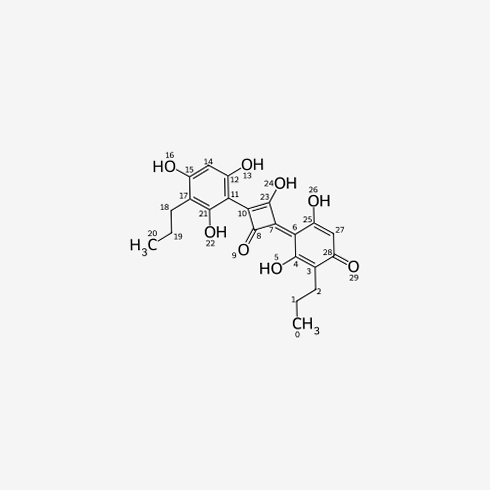 CCCC1=C(O)/C(=C2\C(=O)C(c3c(O)cc(O)c(CCC)c3O)=C2O)C(O)=CC1=O